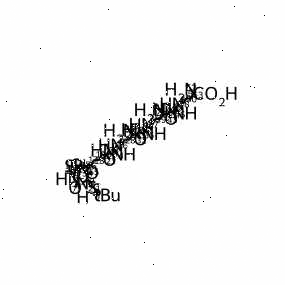 CC(C)(C)SSCC1NC(=O)N[C@@H](CS)C(=O)N(CCCCCC(=O)NC(=N)NCCCC(N)C(=O)NC(=N)NCCCC(N)C(=O)NC(=N)NCCCC(N)C(=O)O)C1=O